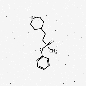 CP(=O)(CCC1CCNCC1)Oc1ccccc1